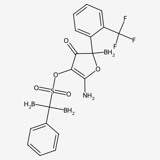 BC1(c2ccccc2C(F)(F)F)OC(N)=C(OS(=O)(=O)C(B)(B)c2ccccc2)C1=O